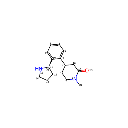 CN1CCC(c2ccccc2[C@H]2CCCN2)CC1=O